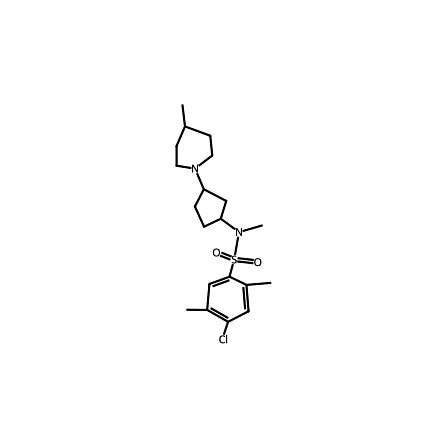 Cc1cc(S(=O)(=O)N(C)C2CCC(N3CCC(C)CC3)C2)c(C)cc1Cl